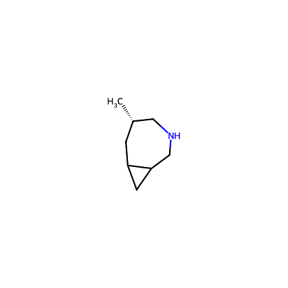 C[C@@H]1CNCC2CC2C1